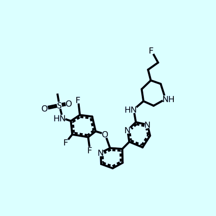 CS(=O)(=O)Nc1c(F)cc(Oc2ncccc2-c2ccnc(NC3CNCC(CCF)C3)n2)c(F)c1F